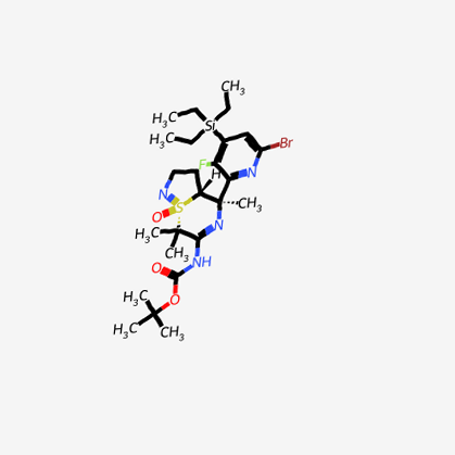 CC[Si](CC)(CC)c1cc(Br)nc([C@@]2(C)N=C(NC(=O)OC(C)(C)C)C(C)(C)[S@]3(=O)=NCC[C@H]23)c1F